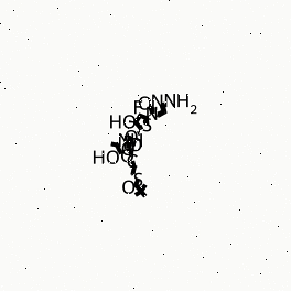 CC(NP(=O)(OCCCCSC(=O)C(C)(C)C)OC[C@H]1S[C@@H](n2ccc(N)nc2=O)[C@@H](F)[C@@H]1O)C(=O)O